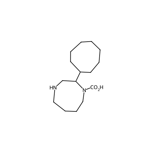 O=C(O)N1CCCCNCC1C1CCCCCCC1